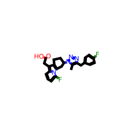 Cc1c(Cc2ccc(F)cc2)nnn1C1CCc2c(CC(=O)O)c3cccc(F)n3c2C1